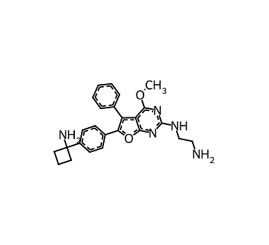 COc1nc(NCCN)nc2oc(-c3ccc(C4(N)CCC4)cc3)c(-c3ccccc3)c12